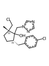 C[C@]1(CCl)CC[C@@H](Cc2ccc(Cl)cc2)C1(O)Cn1cncn1